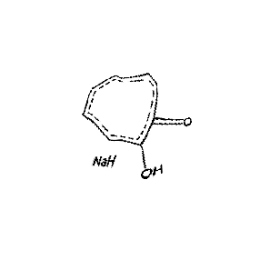 O=c1cccccc1O.[NaH]